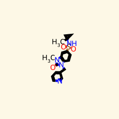 Cn1c(=O)n(Cc2cccnc2)c2ccc(S(=O)(=O)NC3(C)CC3)cc21